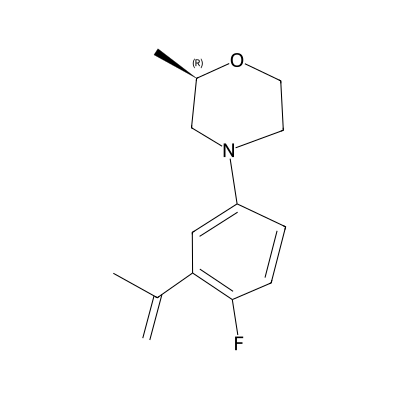 C=C(C)c1cc(N2CCO[C@H](C)C2)ccc1F